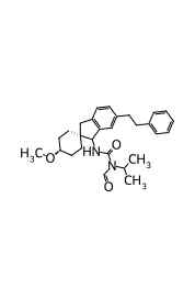 CO[C@H]1CC[C@]2(CC1)Cc1ccc(CCc3ccccc3)cc1C2NC(=O)N(C=O)C(C)C